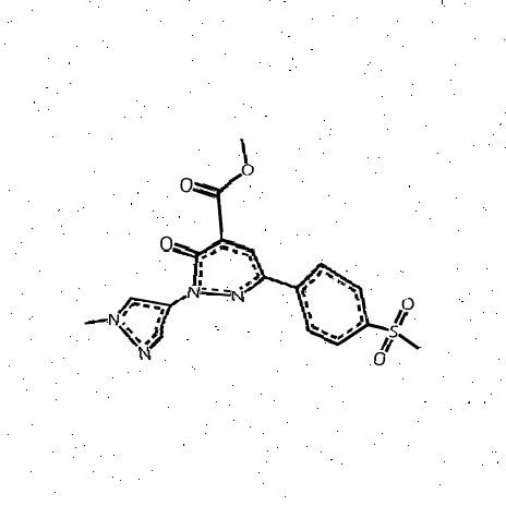 COC(=O)c1cc(-c2ccc(S(C)(=O)=O)cc2)nn(-c2cnn(C)c2)c1=O